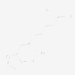 CC(C)OCCOC(=O)Cc1[nH]cc[n+]1C.[Br-]